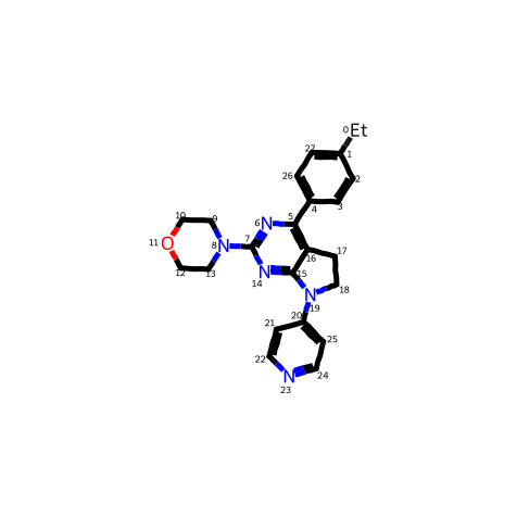 CCc1ccc(-c2nc(N3CCOCC3)nc3c2CCN3c2ccncc2)cc1